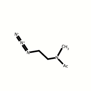 CC(=O)N(C)CCN=[N+]=[N-]